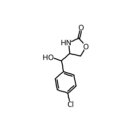 O=C1NC(C(O)c2ccc(Cl)cc2)CO1